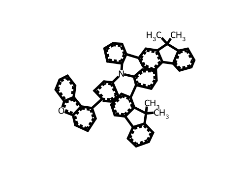 CC1(C)c2ccccc2-c2ccc(-c3ccccc3N(c3ccc(-c4cccc5oc6ccccc6c45)cc3)c3ccccc3-c3cccc4c3C(C)(C)c3ccccc3-4)cc21